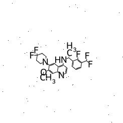 COc1cc2nccc(N[C@H](C)c3cccc(C(F)F)c3F)c2cc1N1CCC(F)(F)CC1